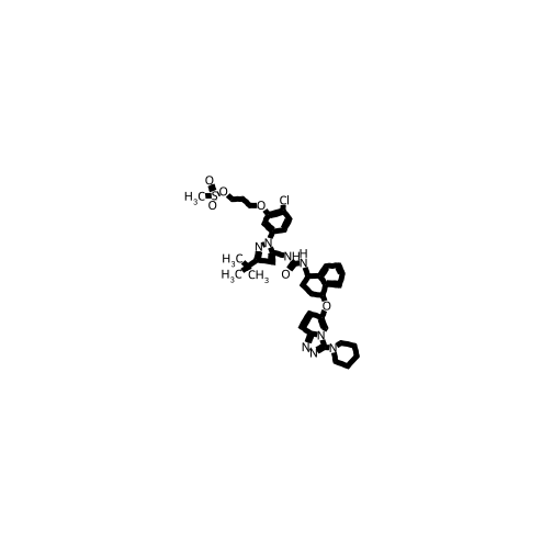 CC(C)(C)c1cc(NC(=O)NC2CCC(Oc3ccc4nnc(N5CCCCC5)n4c3)c3ccccc32)n(-c2ccc(Cl)c(OCCCOS(C)(=O)=O)c2)n1